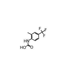 Cc1cc(C(F)(F)F)ccc1NC(=O)O